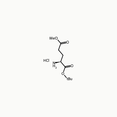 COC(=O)CC[C@H](N)C(=O)OC(C)(C)C.Cl